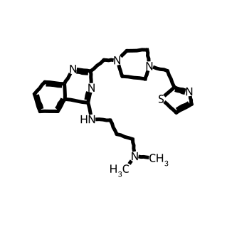 CN(C)CCCNc1nc(CN2CCN(Cc3nccs3)CC2)nc2ccccc12